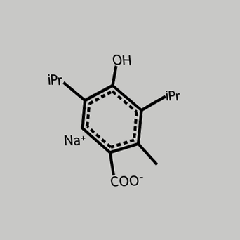 Cc1c(C(=O)[O-])cc(C(C)C)c(O)c1C(C)C.[Na+]